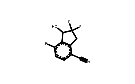 N#Cc1ccc(F)c2c1CC(F)(F)C2O